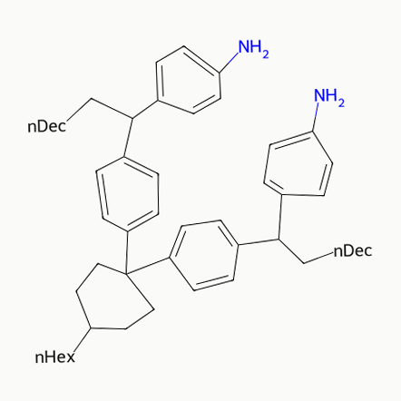 CCCCCCCCCCCC(c1ccc(N)cc1)c1ccc(C2(c3ccc(C(CCCCCCCCCCC)c4ccc(N)cc4)cc3)CCC(CCCCCC)CC2)cc1